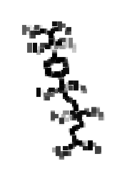 CC(C)CC[Si](C)(C)CC[Si](C)(C)c1ccc([Si](C)(C)C(C)C)cc1